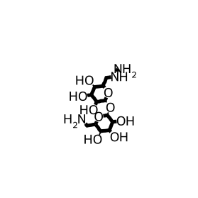 NCC1O[C@H](O[C@H]2OC(CNN)[C@@H](O)C(O)C2O)C(O)C(O)[C@@H]1O